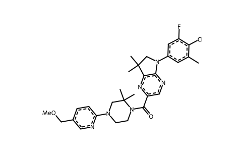 COCc1ccc(N2CCN(C(=O)c3cnc4c(n3)C(C)(C)CN4c3cc(C)c(Cl)c(F)c3)C(C)(C)C2)nc1